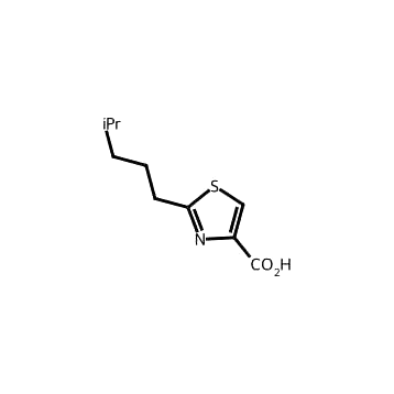 CC(C)CCCc1nc(C(=O)O)cs1